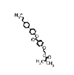 C=C(C)C(=O)OCCOc1ccc(C(=O)OC2CCC([C@H]3CC[C@H](CCC)CC3)CC2)cc1